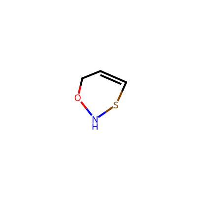 C1=CSNOC1